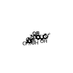 CN1CCC([C@H](O)c2cc(F)c([C@@H](O)N(C)Cc3ncc(Cl)cc3O)c(C=O)c2)CC1